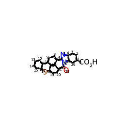 O=C(O)c1ccc2nc3c4ccc5c6ccccc6sc6ccc(c(=O)n3c2c1)c4c65